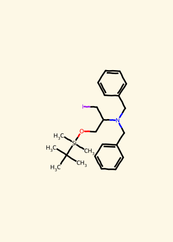 CC(C)(C)[Si](C)(C)OCC(CI)N(Cc1ccccc1)Cc1ccccc1